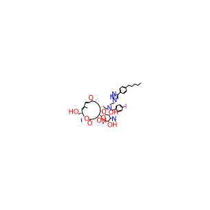 CCCCCc1ccc(-c2cn(CCN(CC[C@H]3C[C@@H](C)C(=O)/C=C/C(C)=C/[C@H](CO)[C@@H](CC)OC(=O)C[C@@H](O)[C@H](C)[C@H]3O[C@@H]3O[C@H](C)[C@@H](O)C(N(C)C)C3O)Cc3ccc(I)cc3)nn2)cc1